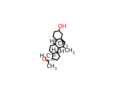 CC(=O)[C@H]1CC[C@H]2[C@@H]3C(C)C=C4CC(O)CC[C@]4(C)[C@H]3CC[C@]12C